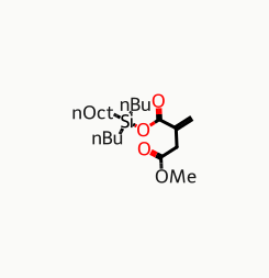 C=C(CC(=O)OC)C(=O)O[Si](CCCC)(CCCC)CCCCCCCC